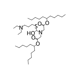 CCCCCC(CCCCC)OC(=O)CN(CC(=O)OC(CCCCC)CCCCC)C(O)SCCCN(CC)CC